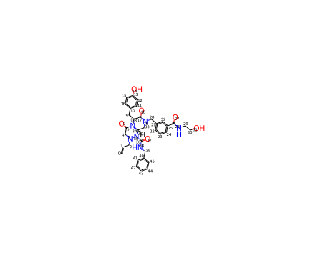 C=CCN1CC(=O)N2[C@@H](Cc3ccc(O)cc3)C(=O)N(Cc3cccc(C(=O)NCCO)c3)C[C@@H]2N1C(=O)NCc1ccccc1